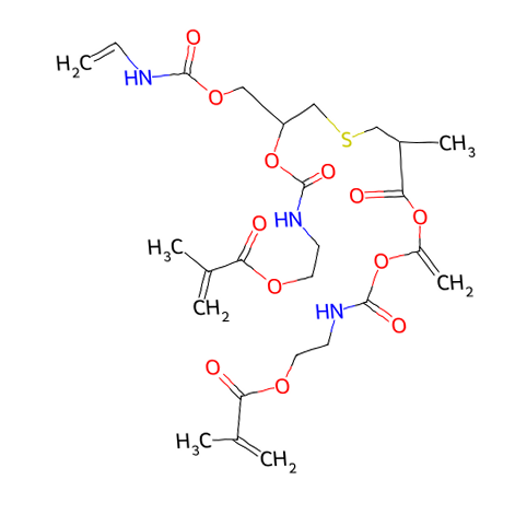 C=CNC(=O)OCC(CSCC(C)C(=O)OC(=C)OC(=O)NCCOC(=O)C(=C)C)OC(=O)NCCOC(=O)C(=C)C